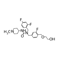 CN1CCC(NC(=O)N(Cc2ccc(COCCO)c(F)c2)Cc2ccc(F)cc2F)CC1